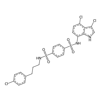 O=S(=O)(NCCCc1ccc(Cl)cc1)c1ccc(S(=O)(=O)Nc2ccc(Cl)c3c(Cl)c[nH]c23)cc1